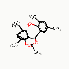 CCOC(c1cc(C)cc(C)c1O)c1cc(C)cc(C)c1O